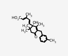 CC(C=C[C@@]1(O)C(C)=C(Cc2cccc(C)c2)C(=O)CC1(C)C)=CC(=O)O